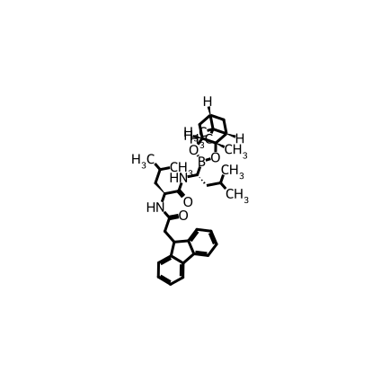 CC(C)C[C@H](NC(=O)[C@H](CC(C)C)NC(=O)CC1c2ccccc2-c2ccccc21)B1O[C@@H]2C[C@@H]3C[C@@H](C3(C)C)[C@]2(C)O1